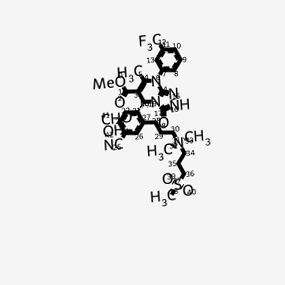 COC(=O)C1=C(C)N(c2cccc(C(F)(F)F)c2)c2n[nH]c(=O)n2[C@@H]1c1ccc(C#N)cc1CCC[N+](C)(C)CCCS(C)(=O)=O.O=CO